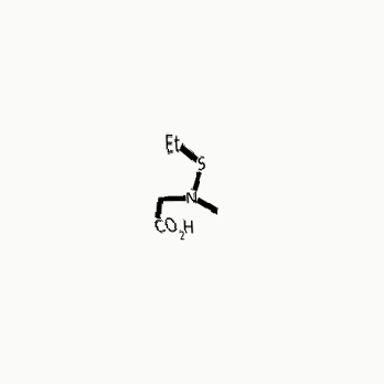 CCSN(C)CC(=O)O